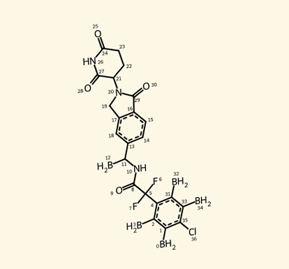 Bc1c(B)c(C(F)(F)C(=O)NC(B)c2ccc3c(c2)CN(C2CCC(=O)NC2=O)C3=O)c(B)c(B)c1Cl